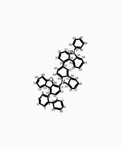 c1ccc(-c2ccccc2-c2ccc(-n3c4ccccc4c4cc(-c5cccc6c5c5ccccc5n6-c5ccccc5)ccc43)c3oc4ccccc4c23)cc1